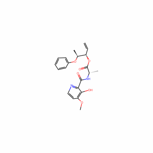 C=C[C@@H](OC(=O)[C@H](C)NC(=O)c1nccc(OC)c1O)[C@H](C)Oc1ccccc1